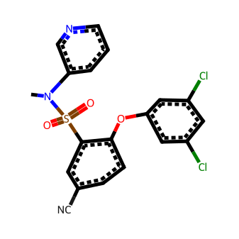 CN(c1cccnc1)S(=O)(=O)c1cc(C#N)ccc1Oc1cc(Cl)cc(Cl)c1